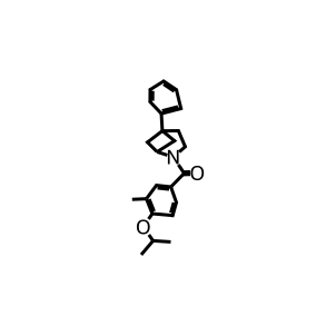 Cc1cc(C(=O)N2CCC3(c4ccccc4)CC2C3)ccc1OC(C)C